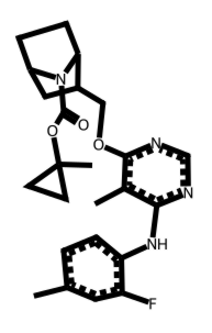 Cc1ccc(Nc2ncnc(OCC3CC4CCC3N4C(=O)OC3(C)CC3)c2C)c(F)c1